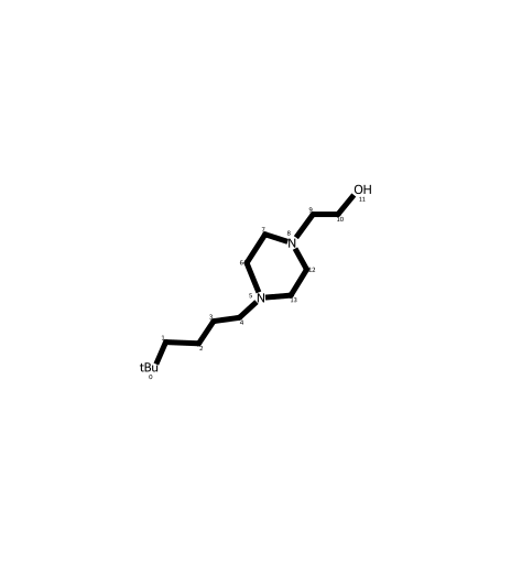 CC(C)(C)CCCCN1CCN(CCO)CC1